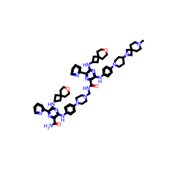 CN1CCC2(CC1)CN(C1CCN(c3ccc(Nc4nc(NC5CC6(CCOCC6)C5)c(-c5ccccn5)nc4C(=O)NCN4CCN(c5ccc(Nc6nc(NC7CC8(CCOCC8)C7)c(-c7ccccn7)nc6C(N)=O)cc5)CC4)cc3)CC1)C2